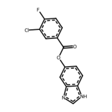 O=C(Oc1ccc2[nH]cnc2c1)c1ccc(F)c(Cl)c1